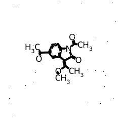 COC(C)=C1C(=O)N(C(C)=O)c2ccc(C(C)=O)cc21